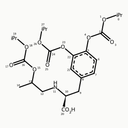 CC(C)OC(=O)Oc1ccc(C[C@H](NCC(C)OC(=O)OC(C)C)C(=O)O)cc1OC(=O)OC(C)C